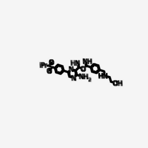 CC(C)S(=O)(=O)c1ccc(-c2cnc(N)c(C(=N)OC(=N)c3ccc(CNCCO)cc3)n2)cc1